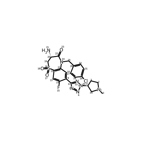 CN1CC[C@H](n2nnc(-c3cc4c(cc3F)S(=O)(=O)C[C@H](N)C(=O)N4Cc3ccc(Cl)cc3)n2)C1